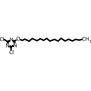 CCCCCCCCCCCCCCCCCCOc1nc(Cl)nc(Cl)n1